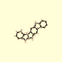 c1ccc2c(c1)N=c1cc3c(cc1-2)nc1nc2cccnc2n13